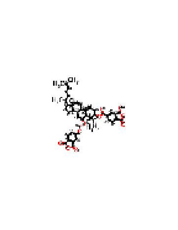 CC(C)=CCCC(C)C1CCC2C3CC(OCOc4ccc5c(c4)C(=O)OC5=O)C4C(C)(C)C(OC(=O)c5ccc6c(c5)C(=O)OC6=O)CCC4(C)C3CCC12C